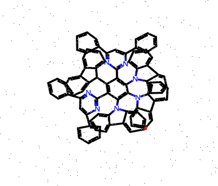 c1ccc(-c2cc(-c3ccccc3)nc(-c3c(C4c5ccccc5-c5ccccc54)c(-c4nc(-c5ccccc5)cc(-c5ccccc5)n4)c(-n4c5ccccc5c5ccccc54)c(-n4c5ccccc5c5ccccc54)c3-n3c4ccccc4c4ccccc43)n2)cc1